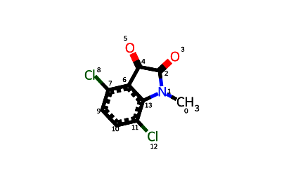 CN1C(=O)C(=O)c2c(Cl)ccc(Cl)c21